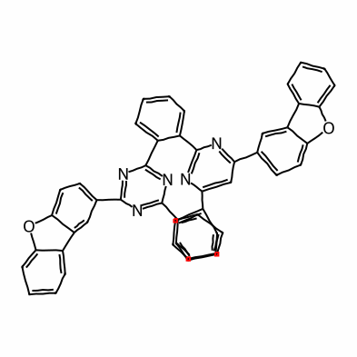 c1ccc(-c2cc(-c3ccc4oc5ccccc5c4c3)nc(-c3ccccc3-c3nc(-c4ccccc4)nc(-c4ccc5oc6ccccc6c5c4)n3)n2)cc1